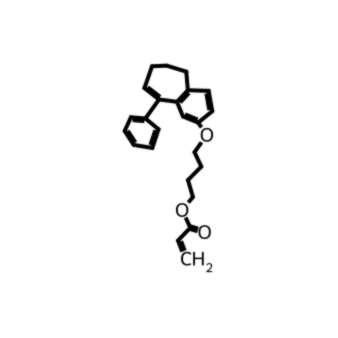 C=CC(=O)OCCCCOc1ccc2c(c1)C(c1ccccc1)=CCCC2